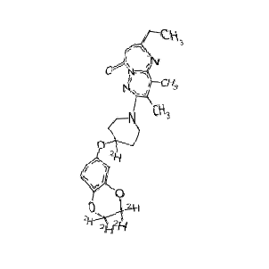 [2H]C1(Oc2ccc3c(c2)OC([2H])([2H])C([2H])([2H])O3)CCN(c2nn3c(=O)cc(CC)nc3c(C)c2C)CC1